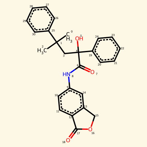 CC(C)(CC(O)(C(=O)Nc1ccc2c(c1)COC2=O)c1ccccc1)c1ccccc1